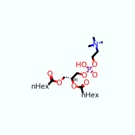 CCCCCCC(=O)OC[C@H](COP(=O)(O)OCC[N+](C)(C)C)OC(=O)CCCCCC